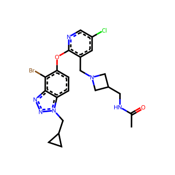 CC(=O)NCC1CN(Cc2cc(Cl)cnc2Oc2ccc3c(nnn3CC3CC3)c2Br)C1